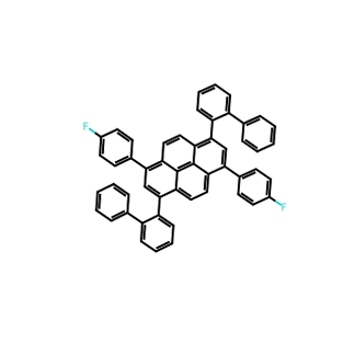 Fc1ccc(-c2cc(-c3ccccc3-c3ccccc3)c3ccc4c(-c5ccc(F)cc5)cc(-c5ccccc5-c5ccccc5)c5ccc2c3c45)cc1